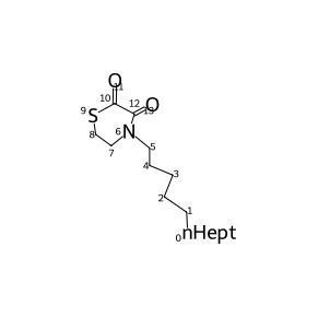 CCCCCCCCCCCCN1CCSC(=O)C1=O